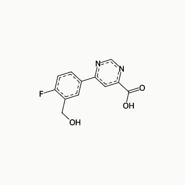 O=C(O)c1cc(-c2ccc(F)c(CO)c2)ncn1